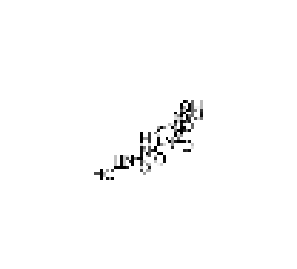 O=C(NCCO)NC(=O)C1CCC2CN1C(=O)N2OS(=O)(=O)O